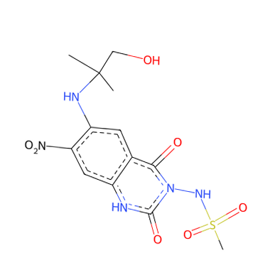 CC(C)(CO)Nc1cc2c(=O)n(NS(C)(=O)=O)c(=O)[nH]c2cc1[N+](=O)[O-]